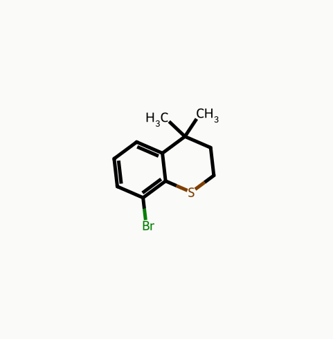 CC1(C)CCSc2c(Br)cccc21